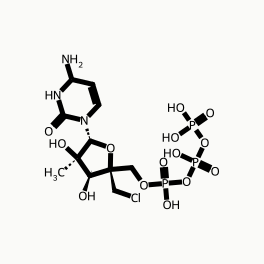 C[C@@]1(O)[C@H](O)[C@@](CCl)(COP(=O)(O)OP(=O)(O)OP(=O)(O)O)O[C@H]1N1C=CC(N)NC1=O